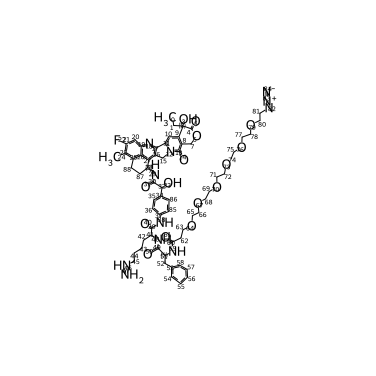 CC[C@@]1(O)C(=O)OCc2c1cc1n(c2=O)Cc2c-1nc1cc(F)c(C)c3c1c2[C@@H](NC(=O)C(O)c1ccc(NC(=O)C(CCCCNN)NC(=O)[C@H](Cc2ccccc2)NC(=O)CCOCCOCCOCCOCCOCCOCCN=[N+]=[N-])cc1)CC3